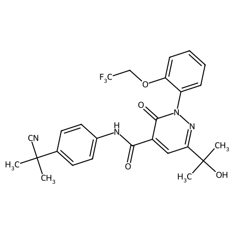 CC(C)(O)c1cc(C(=O)Nc2ccc(C(C)(C)C#N)cc2)c(=O)n(-c2ccccc2OCC(F)(F)F)n1